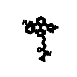 Cn1cc(-c2cccc(C(N)=O)c2-c2nc(CCCC(=O)NC3CC3)cn2-c2ccccc2)cn1